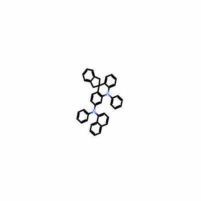 c1ccc(N2c3ccccc3C3(Cc4ccccc4C3)c3ccc(N(c4ccccc4)c4cccc5ccccc45)cc32)cc1